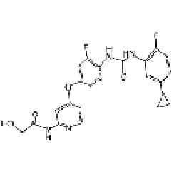 O=C(CO)Nc1cc(Oc2ccc(NC(=O)Nc3cc(C4CC4)ccc3F)c(F)c2)ccn1